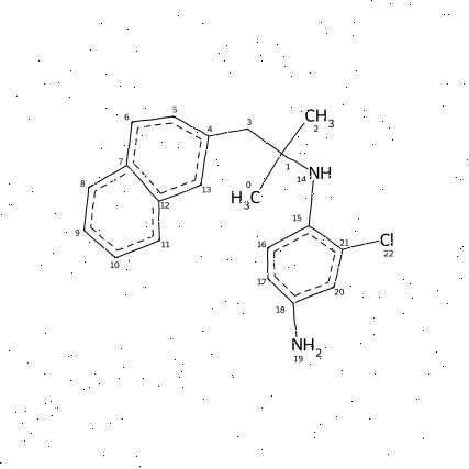 CC(C)(Cc1ccc2ccccc2c1)Nc1ccc(N)cc1Cl